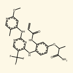 C=CC(=O)Nc1cc(OC(C)C(N)=O)ccc1Nc1nc(Nc2cc(OC)ncc2C)ncc1C(F)(F)F